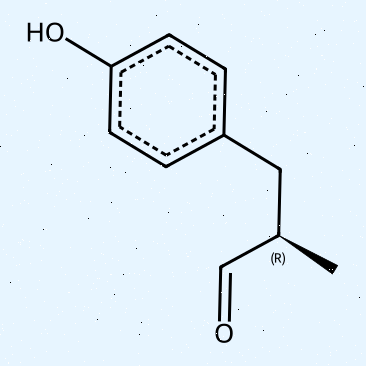 C[C@@H](C=O)Cc1ccc(O)cc1